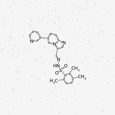 Cc1ccc(C)c(S(=O)(=O)NN=Cc2cnc3ccc(-c4cccnc4)cn23)c1C